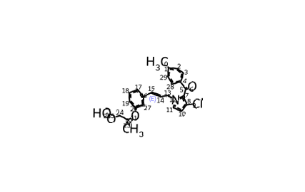 Cc1ccc(C(=O)c2c(Cl)ccn2C/C=C/c2cccc(O[C@@H](C)COO)c2)cc1